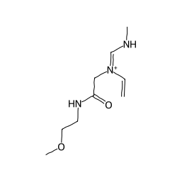 C=C/[N+](=C\NC)CC(=O)NCCOC